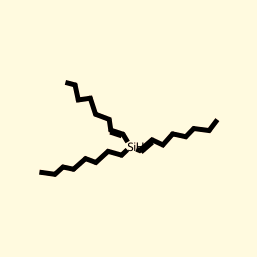 CCCCCCC=C[SiH](C=CCCCCCC)CCCCCCCC